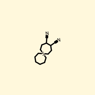 N#CC1CCS2(CCCCCC2)CCC1C#N